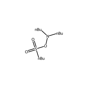 CCCCN(CCCC)OS(=O)(=O)CCCC